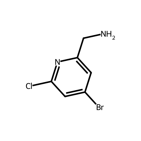 NCc1cc(Br)cc(Cl)n1